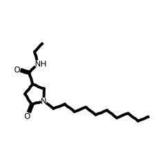 CCCCCCCCCCN1CC(C(=O)NCC)CC1=O